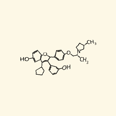 C[C@@H]1CCN([C@@H](C)COc2ccc(C3Oc4ccc(O)cc4C(C4CCCC4)=C3c3cccc(O)c3)cc2)C1